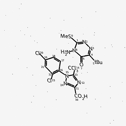 CSc1nnc(C(C)(C)C)c(=O)n1N.O=C(O)c1nc(C(Cl)(Cl)Cl)n(-c2ccc(Cl)cc2Cl)n1